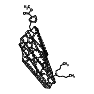 CCCCN(CCCC)C12c3c4c5c6c7c8c9c%10c(c1c1c%11c2c2c%12c3c5c3c5c6c6c7c7c9c9c%13c%10c1c1c%10c%11c%11c2c2c%12c3c3c5c5c6c6c7c9c7c(c%131)c1c%10c%11c9c2c3c2c9c1c7c6c52)C48Cc1cccc(C(=O)OC)c1